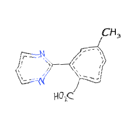 Cc1ccc(C(=O)O)c(-c2ncccn2)c1